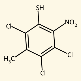 Cc1c(Cl)c(S)c([N+](=O)[O-])c(Cl)c1Cl